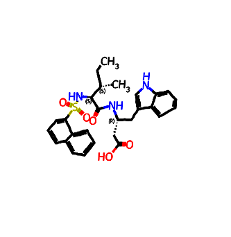 CC[C@H](C)[C@H](NS(=O)(=O)c1cccc2ccccc12)C(=O)N[C@@H](CC(=O)O)Cc1c[nH]c2ccccc12